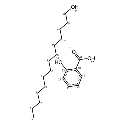 CCCCCCCCCCCCCCO.O=C(O)c1ccccc1O